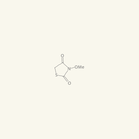 CON1C(=O)CSC1=O